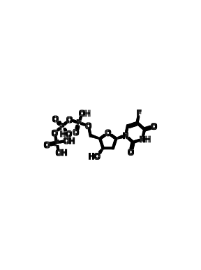 O=c1[nH]c(=O)n([C@H]2C[C@@H](O)[C@@H](COP(=O)(O)OP(=O)(O)OP(=O)(O)O)O2)cc1F